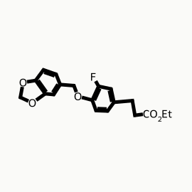 CCOC(=O)CCc1ccc(OCc2ccc3c(c2)OCO3)c(F)c1